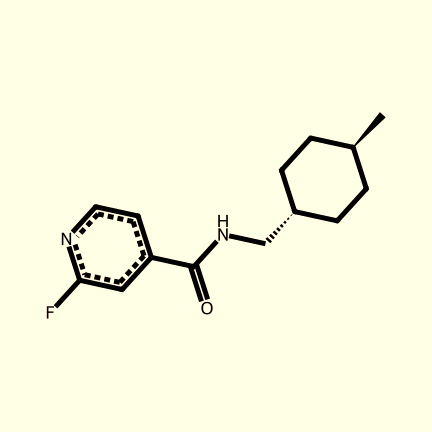 C[C@H]1CC[C@H](CNC(=O)c2ccnc(F)c2)CC1